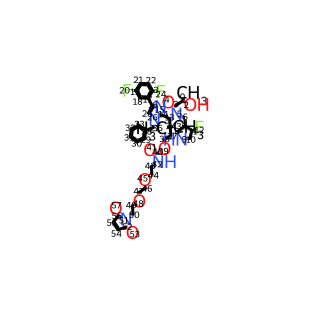 C[C@H](O)C(=O)N(C[C@@H]1CNC[C@@H]1F)[C@@H](c1nc(-c2cc(F)ccc2F)cn1Cc1ccccc1)C(C)(C)CCOC(=O)NCCOCCOCCN1C(=O)C=CC1=O